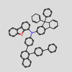 C1=CC2c3ccc(N(c4ccc(-c5ccc6ccccc6c5-c5ccc(-c6ccccc6)cc5)cc4)c4cccc5c4oc4ccccc45)cc3C(C3=CCCC=C3)(c3ccccc3)C2C=C1